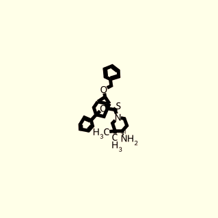 CC1(C)CN(C(=S)C23CC4CC(c5ccccc5)(CC2C4OCc2ccccc2)C3)CC[C@@H]1N